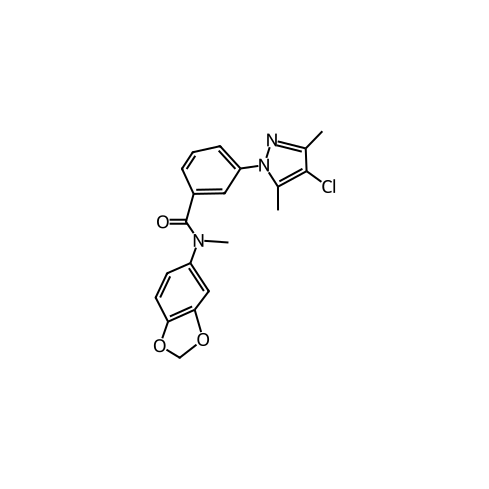 Cc1nn(-c2cccc(C(=O)N(C)c3ccc4c(c3)OCO4)c2)c(C)c1Cl